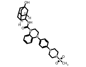 CS(=O)(=O)N1CCN(c2ccc(N3CCN(C(=O)NC4[C@@H]5CC6C[C@H]4CC(O)(C6)C5)c4ccccc43)cc2)CC1